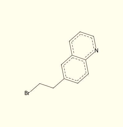 BrCCc1ccc2ncccc2c1